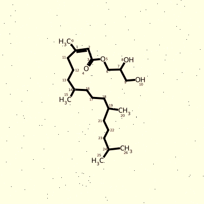 CC(=CC(=O)OCC(O)CO)CCCC(C)CCCC(C)CCCC(C)C